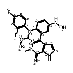 Cn1cc(-c2cc(NO)ccc2N(C(=O)OC(C)(C)C)c2ccc(F)cc2F)c2cc[nH]c2c1=N